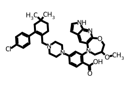 COC1COc2nc3[nH]ccc3cc2N(c2cc(N3CCN(CC4=C(c5ccc(Cl)cc5)CC(C)(C)CC4)CC3)ccc2C(=O)O)C1